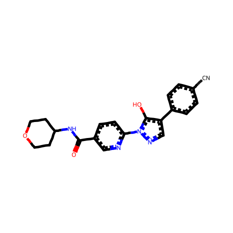 N#Cc1ccc(-c2cnn(-c3ccc(C(=O)NC4CCOCC4)cn3)c2O)cc1